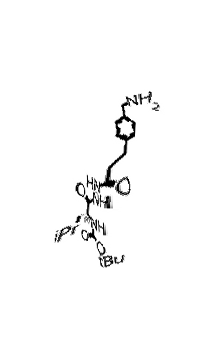 CC(C)C[C@@H](NC(=O)OC(C)(C)C)C(=O)NNC(=O)CCc1ccc(CN)cc1